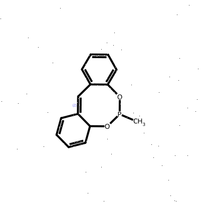 CP1Oc2ccccc2/C=C2/C=CC=CC2O1